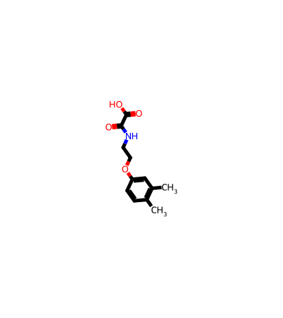 Cc1ccc(OCCNC(=O)C(=O)O)cc1C